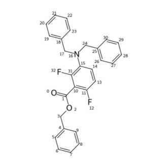 O=C(OCc1ccccc1)c1c(F)ccc(N(Cc2ccccc2)Cc2ccccc2)c1F